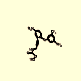 CC(C)(C)OC(=O)NCC#Cc1cc([N+](=O)[O-])ccc1Oc1cc(N)cc(C(F)(F)F)c1